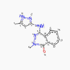 Cc1cc(Nc2nn(C)c(=O)c3ccccc23)n[nH]1